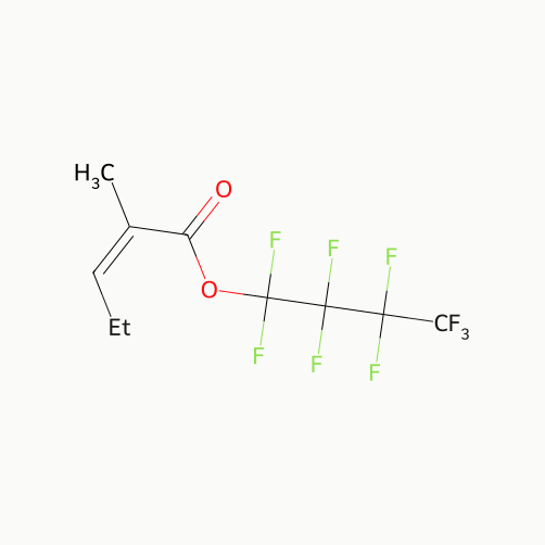 CCC=C(C)C(=O)OC(F)(F)C(F)(F)C(F)(F)C(F)(F)F